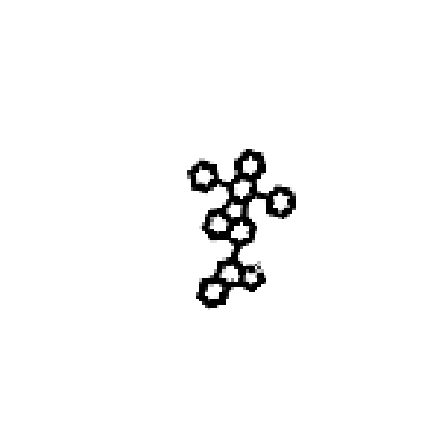 c1ccc(-c2c3c(c(-c4ccccc4)c4ccccc24)-c2ccc(-c4cc5ccccc5c5ccsc45)c4cccc-3c24)cc1